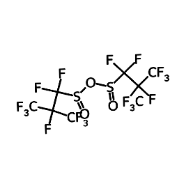 O=S(OS(=O)C(F)(F)C(F)(C(F)(F)F)C(F)(F)F)C(F)(F)C(F)(C(F)(F)F)C(F)(F)F